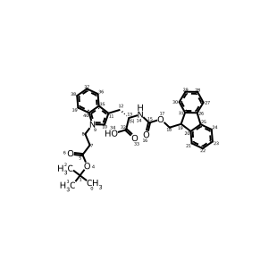 CC(C)(C)OC(=O)CCn1cc(C[C@H](NC(=O)OCC2c3ccccc3-c3ccccc32)C(=O)O)c2ccccc21